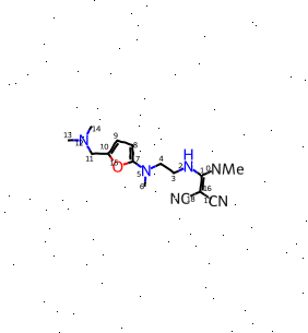 CNC(NCCN(C)c1ccc(CN(C)C)o1)=C(C#N)C#N